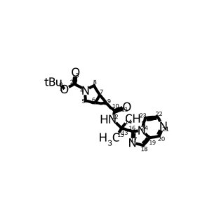 CC(C)(C)OC(=O)N1CC2C(C1)C2C(=O)NC(C)(C)c1ncc2cnccn12